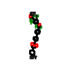 CCCC1CCC(C2COC(c3ccc(-c4ccc(C(F)(F)Oc5cc(F)c(C(F)(F)OC(F)(F)F)c(F)c5)cc4)cc3)OC2)CC1